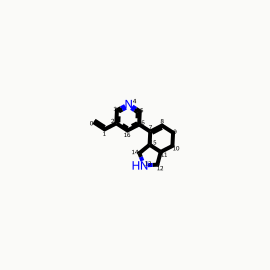 C=Cc1cncc(C2=CCCC3CNCC23)c1